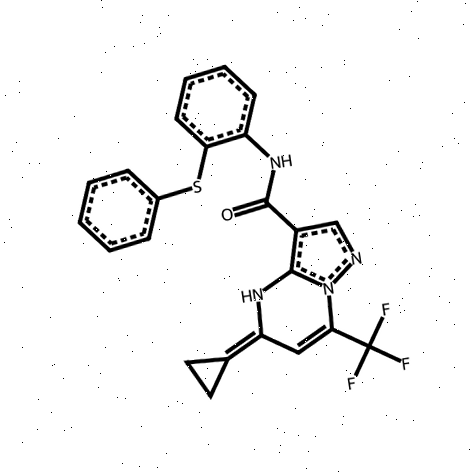 O=C(Nc1ccccc1Sc1ccccc1)c1cnn2c1NC(=C1CC1)C=C2C(F)(F)F